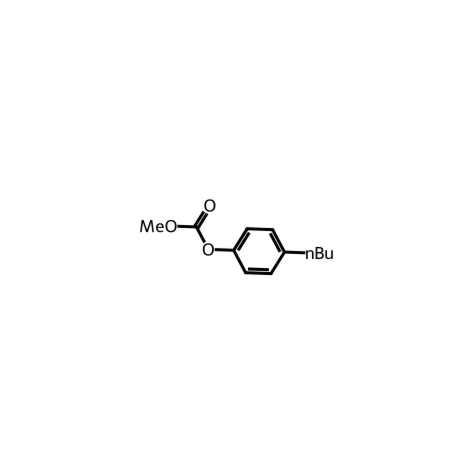 CCCCc1ccc(OC(=O)OC)cc1